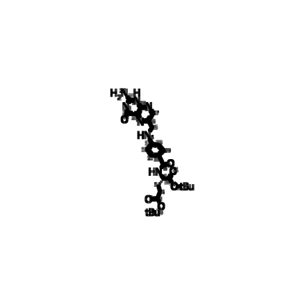 CC(C)(C)OC(=O)CC[C@H](NC(=O)c1ccc(NCc2cnc3[nH]c(N)nc(=O)c3n2)cc1)C(=O)OC(C)(C)C